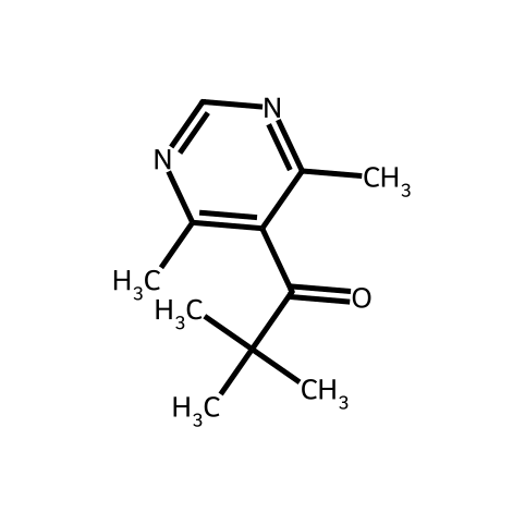 Cc1ncnc(C)c1C(=O)C(C)(C)C